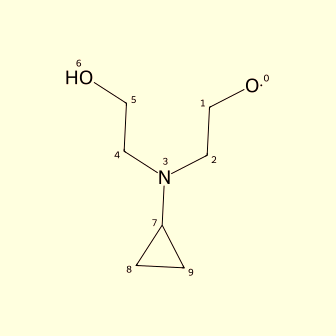 [O]CCN(CCO)C1CC1